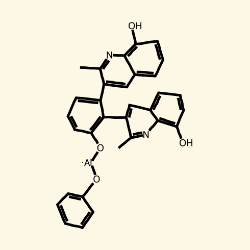 Cc1nc2c(O)cccc2cc1-c1cccc([O][Al][O]c2ccccc2)c1-c1cc2cccc(O)c2nc1C